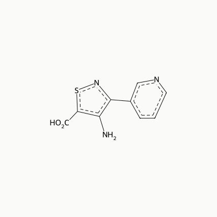 Nc1c(-c2cccnc2)nsc1C(=O)O